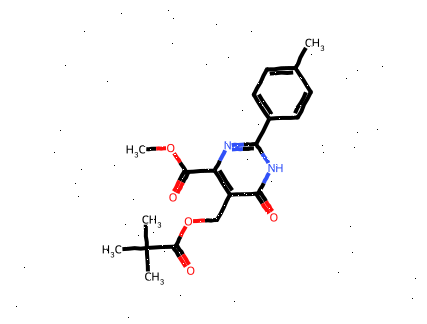 COC(=O)c1nc(-c2ccc(C)cc2)[nH]c(=O)c1COC(=O)C(C)(C)C